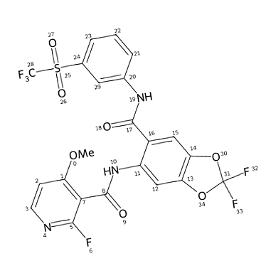 COc1ccnc(F)c1C(=O)Nc1cc2c(cc1C(=O)Nc1cccc(S(=O)(=O)C(F)(F)F)c1)OC(F)(F)O2